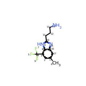 Cc1cc(C(F)(F)F)c2[nH]c(CCCN)nc2c1